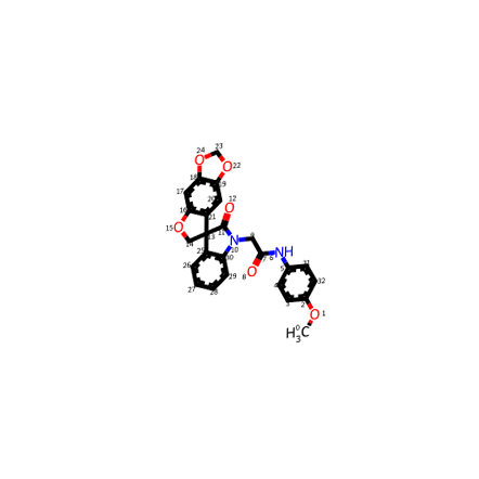 COc1ccc(NC(=O)CN2C(=O)C3(COc4cc5c(cc43)OCO5)c3ccccc32)cc1